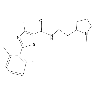 Cc1cccc(C)c1-c1nc(C)c(C(=O)NCCC2CCCN2C)s1